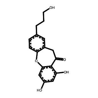 O=C1Cc2cc(CCCO)ccc2Oc2cc(O)cc(O)c21